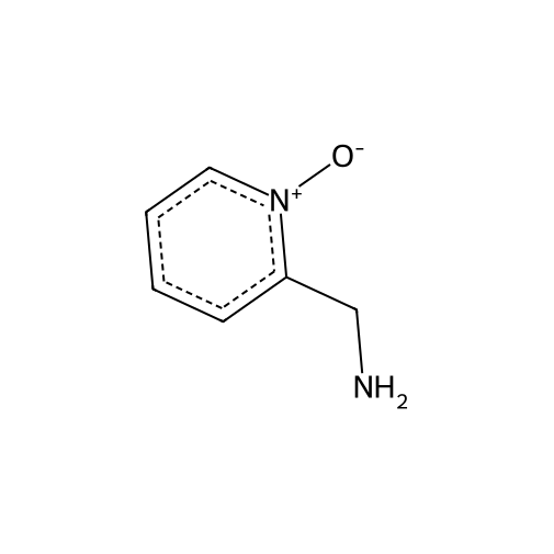 NCc1cccc[n+]1[O-]